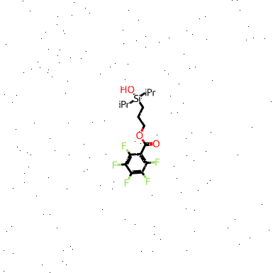 CC(C)[Si](O)(CCCOC(=O)c1c(F)c(F)c(F)c(F)c1F)C(C)C